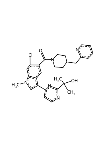 Cn1cc(-c2ccnc(C(C)(C)O)n2)c2cc(C(=O)N3CCC(Cc4ccccn4)CC3)c(Cl)cc21